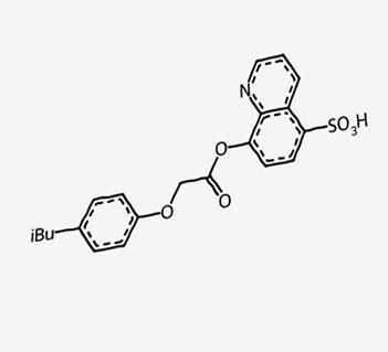 CCC(C)c1ccc(OCC(=O)Oc2ccc(S(=O)(=O)O)c3cccnc23)cc1